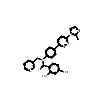 Cc1nccn1-c1ccc(-c2ccc(N(Cc3cccnc3)C(=O)c3ccc(O)cc3O)cc2)nn1